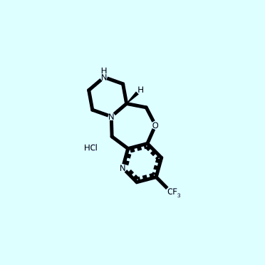 Cl.FC(F)(F)c1cnc2c(c1)OC[C@H]1CNCCN1C2